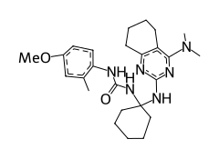 COc1ccc(NC(=O)NC2(Nc3nc4c(c(N(C)C)n3)CCCC4)CCCCC2)c(C)c1